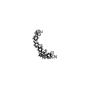 CC(C)(C)OC(=O)N1CCN(CC2CCN(c3ccc(N4C(=S)N(c5cnc(C#N)c(Cl)c5)C(=N)C45CCC5)cc3F)CC2)CC1